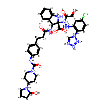 O=CC(=O)N(Nc1cc(Cl)ccc1-n1cnnn1)C1(C(=O)O)Nc2ccccc2C1NC(=O)CCc1ccc(NC(=O)N2CCC(N3CCCC3=O)CC2)cc1